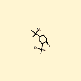 CCC(C)(C)C1CCC(=O)C(C(C)(C)CC)C1